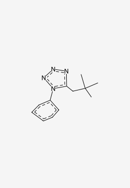 CC(C)(C)Cc1nnnn1-c1ccccc1